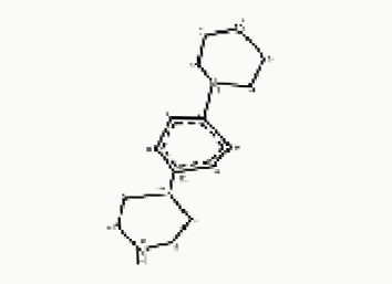 c1cc(N2CCOCC2)ccc1C1CCNCC1